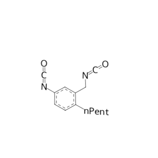 CCCCCc1ccc(N=C=O)cc1CN=C=O